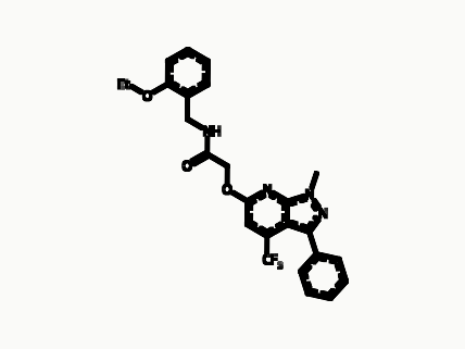 CCOc1ccccc1CNC(=O)COc1cc(C(F)(F)F)c2c(-c3ccccc3)nn(C)c2n1